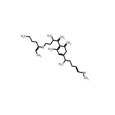 C=C1CC(C(C)CC/C=C/NC)=CC(C)=C1C(=C)C(C)CCS/C(=C\C)CCCC